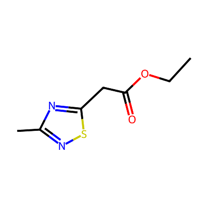 CCOC(=O)Cc1nc(C)ns1